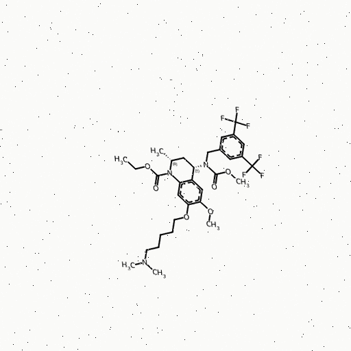 CCOC(=O)N1c2cc(OCCCCCN(C)C)c(OC)cc2[C@@H](N(Cc2cc(C(F)(F)F)cc(C(F)(F)F)c2)C(=O)OC)C[C@H]1C